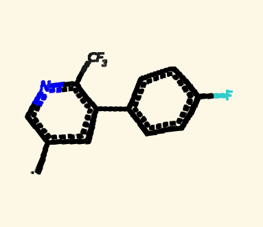 [CH2]c1cnc(C(F)(F)F)c(-c2ccc(F)cc2)c1